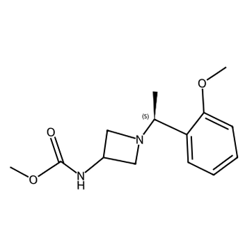 COC(=O)NC1CN([C@@H](C)c2ccccc2OC)C1